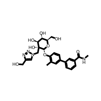 CNC(=O)c1cccc(-c2ccc(O[C@H]3O[C@H](CO)[C@@H](O)[C@H](O)[C@]3(O)Cn3cc(CO)nn3)c(C)c2)c1